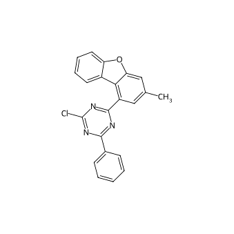 Cc1cc(-c2nc(Cl)nc(-c3ccccc3)n2)c2c(c1)oc1ccccc12